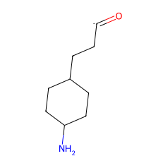 NC1CCC(CC[C]=O)CC1